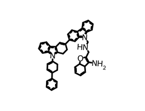 NC1=C(CNCn2c3ccccc3c3ccc(C4=Cc5c(n(C6=CC=C(c7ccccc7)CC6)c6ccccc56)CC4)cc32)OC2C=CC=CC12